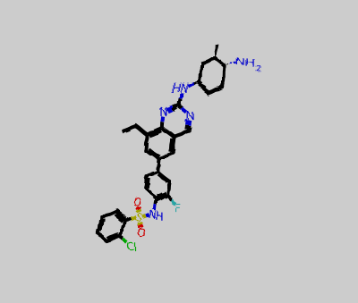 CCc1cc(-c2ccc(NS(=O)(=O)c3ccccc3Cl)c(F)c2)cc2cnc(N[C@@H]3CC[C@@H](N)[C@H](C)C3)nc12